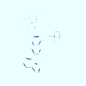 CN(C)C1(CNc2nc(OC[C@@]34CCCN3C[C@H](F)C4)nc3c(F)c(-c4cccc5cccc(C(F)(F)F)c45)ncc23)CCC1